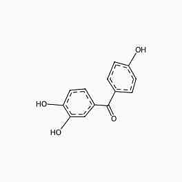 O=C(c1ccc(O)cc1)c1ccc(O)c(O)c1